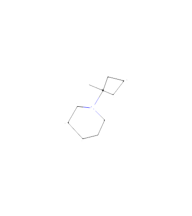 CCC1(N2CC[CH]CC2)CCC1